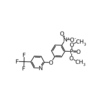 COP(=O)(OC)c1cc(Oc2ccc(C(F)(F)F)cn2)ccc1[N+](=O)[O-]